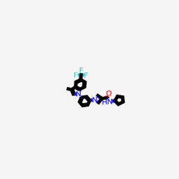 Cc1cn(-c2cccc(N3CC(C(=O)NC4CCCC4)C3)c2)c2ccc(C(F)(F)F)cc12